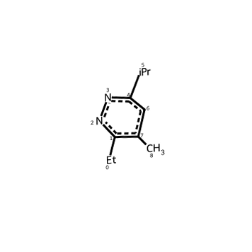 CCc1nnc(C(C)C)cc1C